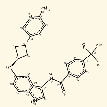 Cc1ccc([C@H]2C[C@H](Oc3ccc4[nH]cc(NC(=O)c5ccc(C(F)(F)F)cc5)c4c3)C2)cn1